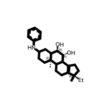 CC[C@]1(C)CCC2=C1CCC1C2[C@@H](O)[C@H](O)C2CC(Nc3ccccc3)CC[C@]12C